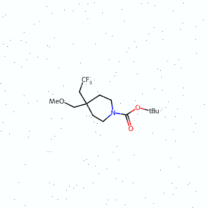 COCC1(CC(F)(F)F)CCN(C(=O)OC(C)(C)C)CC1